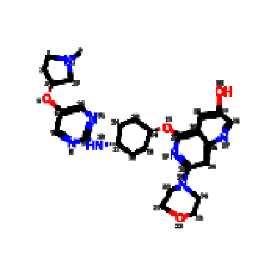 CN1CC[C@@H](Oc2cnc(N[C@H]3CC[C@@H](Oc4nc(N5CCOCC5)cc5ncc(O)cc45)CC3)nc2)C1